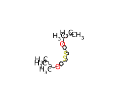 CC(C)CCC[C@H](C)CCOc1ccc(-c2ccc(-c3ccc(-c4ccc(OCC[C@@H](C)CCCC(C)C)cc4)s3)s2)cc1